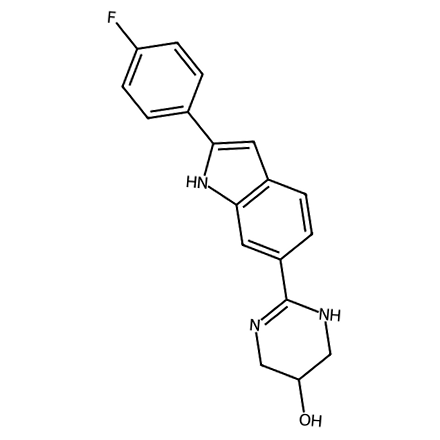 OC1CN=C(c2ccc3cc(-c4ccc(F)cc4)[nH]c3c2)NC1